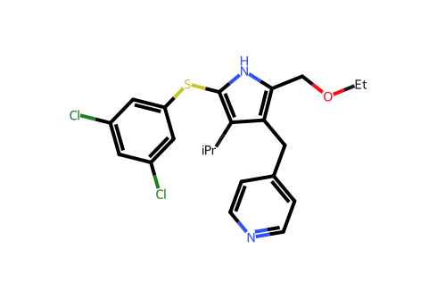 CCOCc1[nH]c(Sc2cc(Cl)cc(Cl)c2)c(C(C)C)c1Cc1ccncc1